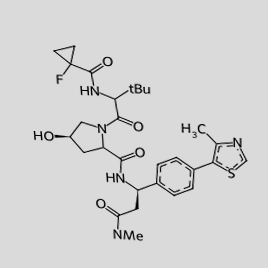 CNC(=O)C[C@@H](NC(=O)C1C[C@@H](O)CN1C(=O)C(NC(=O)C1(F)CC1)C(C)(C)C)c1ccc(-c2scnc2C)cc1